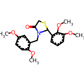 COc1ccc(OC)c(CN2C(=O)CSC2c2cccc(OC)c2OC)c1